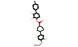 CCCCCCOc1ccc(C2CCC(C(=O)Oc3ccc(-c4ccc(C)cc4)c(F)c3F)CC2)cc1F